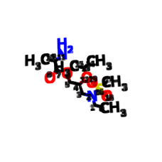 CCN(C[C@@H](COC(=O)[C@@H](C)N)OC(C)C)S(C)(=O)=O